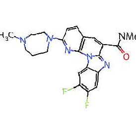 CNC(=O)c1cc2ccc(N3CCCN(C)CC3)nc2n2c1nc1cc(F)c(F)cc12